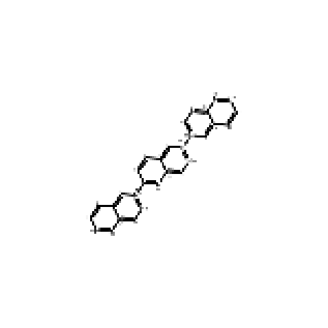 c1cc2c[n+](-c3ccc4c[n+](-[n+]5cnc6nnccc6c5)ncc4n3)ncc2cn1